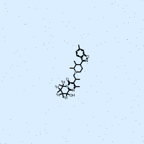 [2H]C1(O)c2nc(C)c(C(C)CN3CCC(c4noc5cc(C)ccc45)C(C)C3C)c(=O)n2C([2H])(C)C([2H])(C)C1([2H])C